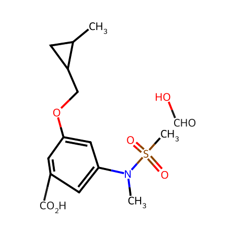 CC1CC1COc1cc(C(=O)O)cc(N(C)S(C)(=O)=O)c1.O=CO